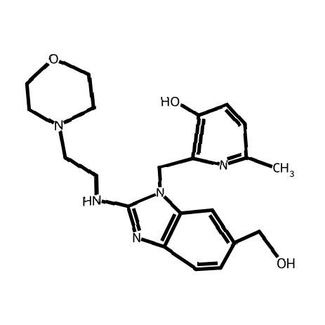 Cc1ccc(O)c(Cn2c(NCCN3CCOCC3)nc3ccc(CO)cc32)n1